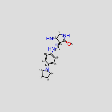 N=C1CNC(=O)/C1=C/Nc1ccc(N2CCCC2)cc1